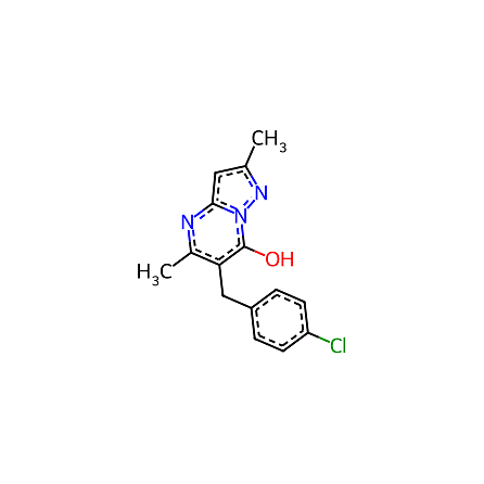 Cc1cc2nc(C)c(Cc3ccc(Cl)cc3)c(O)n2n1